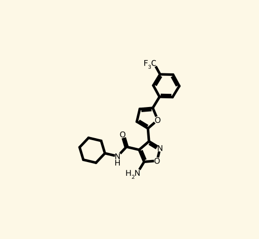 Nc1onc(-c2ccc(-c3cccc(C(F)(F)F)c3)o2)c1C(=O)NC1CCCCC1